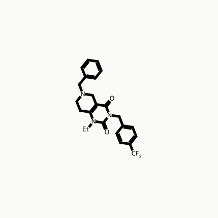 CCn1c2c(c(=O)n(Cc3ccc(C(F)(F)F)cc3)c1=O)CN(Cc1ccccc1)CC2